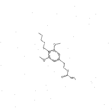 CCCCSc1c(OC)cc(CCOC(N)=O)cc1OC